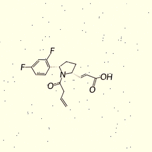 C=CCC(=O)N1[C@@H](C=CC(=O)O)CC[C@H]1c1ccc(F)cc1F